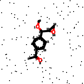 COC(c1ccc(C(C)=O)cc1)C1CO1